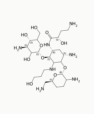 NCC[C@H](O)C(=O)N[C@@H]1C[C@H](N)C(O[C@H]2O[C@H](CN)CCC2N)C(NCCCO)[C@H]1O[C@H]1OC(CO)[C@@H](O)[C@H](N)C1O